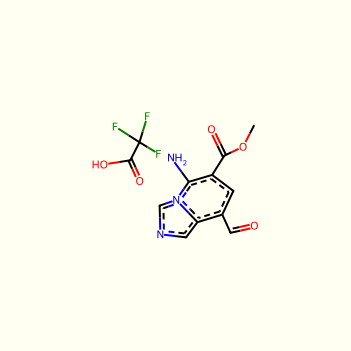 COC(=O)c1cc(C=O)c2cncn2c1N.O=C(O)C(F)(F)F